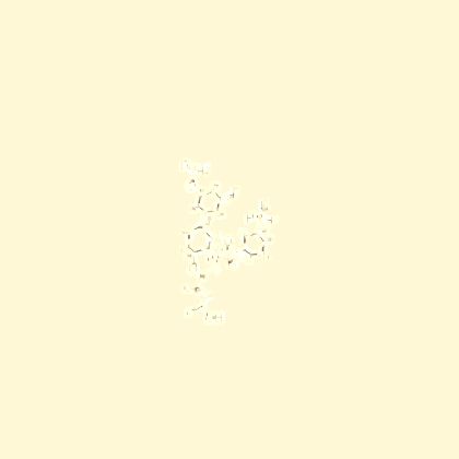 C[C@H](CC(=O)O)[C@H]1CN(S(=O)(=O)c2cccc(C(F)(F)F)c2)c2cc(-c3cc(F)cc(OC(F)F)c3)ccc2O1